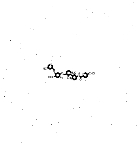 Cc1c(COc2cc(OCc3cncc(C#N)c3)c(C=O)cc2Cl)cccc1-c1cccc(NC(=O)c2ccc(C=O)cn2)c1C